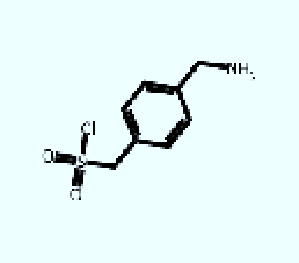 NCc1ccc(CS(=O)(=O)Cl)cc1